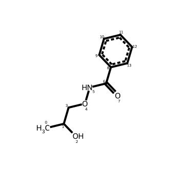 CC(O)CONC(=O)c1ccccc1